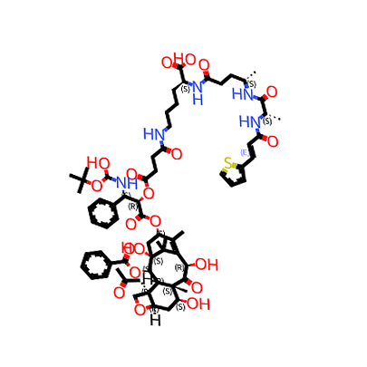 CC(=O)C[C@@]12CO[C@@H]1C[C@H](O)[C@@]1(C)C(=O)[C@H](O)C3=C(C)[C@@H](OC(=O)[C@H](OC(=O)CCC(=O)NCCCC[C@H](NC(=O)CC[C@H](C)NC(=O)[C@H](C)NC(=O)/C=C/c4cccs4)C(=O)O)[C@@H](NC(O)OC(C)(C)C)c4ccccc4)C[C@@](O)([C@@H](OC(=O)c4ccccc4)[C@H]21)C3(C)C